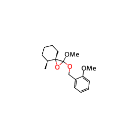 COc1ccccc1COC1(OC)O[C@@]12CCCC[C@@H]2C